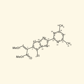 CCc1c(C(=COC)C(=O)OC)sc2nc(-c3nc(C)cc(C)n3)nn12